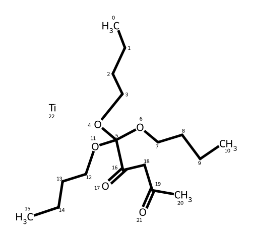 CCCCOC(OCCCC)(OCCCC)C(=O)CC(C)=O.[Ti]